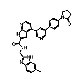 Cc1ccc2nc(CNC(=O)c3cc4c(-c5cncc(-c6ccc(N7CCCC7=O)cc6)c5)ccnc4[nH]3)[nH]c2c1